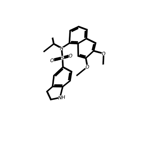 COc1cc2cccc(N(C(C)C)S(=O)(=O)c3ccc4c(c3)CCN4)c2cc1OC